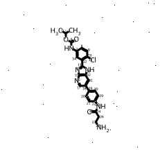 CC(C)OC(=O)Nc1ccc(Cl)c(-c2nc3ncc(-c4ccc(NC(=O)CCN)cc4)cc3[nH]2)c1